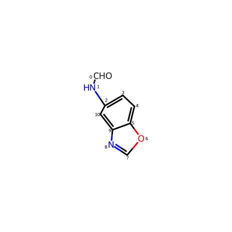 O=CNc1ccc2ocnc2c1